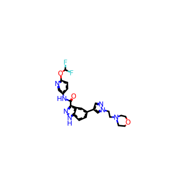 O=C(Nc1ccc(OC(F)F)nc1)c1n[nH]c2ccc(-c3cnn(CCN4CCOCC4)c3)cc12